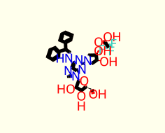 O=C(O)C(F)(F)F.OC[C@H]1O[C@@H](n2cnc3c(NCC(c4ccccc4)c4ccccc4)nc(N4C[C@@H](O)[C@H](O)C4)nc32)[C@H](O)[C@@H]1O